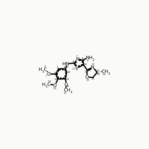 COc1cc(Nc2nc(N)c(C3=N[C@H](C)CO3)s2)cc(OC)c1OC